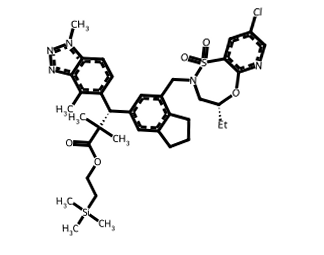 CC[C@@H]1CN(Cc2cc([C@@H](c3ccc4c(nnn4C)c3C)C(C)(C)C(=O)OCC[Si](C)(C)C)cc3c2CCC3)S(=O)(=O)c2cc(Cl)cnc2O1